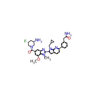 COc1cc(C(=O)N2C[C@H](N)C[C@@H](F)C2)cc2nc(-c3cc4ccc(-c5cccc(CC(N)=O)c5)nc4n3CC3CC3)n(C)c12